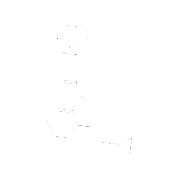 O=C(Nc1ccccc1OCC1CC1)OC1CN2CCC1CC2